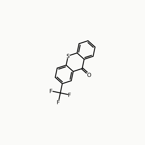 O=c1c2ccccc2sc2ccc(C(F)(F)F)cc12